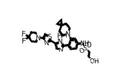 O=S(=O)(CCO)Nc1ccc(-c2ncc(-c3nc(N4CCC(F)(F)CC4)cs3)[nH]2)c(N2CCC3(CC2)CC3)c1